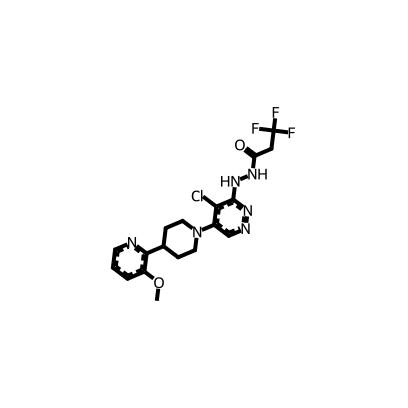 COc1cccnc1C1CCN(c2cnnc(NNC(=O)CC(F)(F)F)c2Cl)CC1